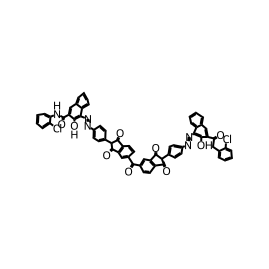 O=C(c1ccc2c(c1)C(=O)C(c1ccc(N=Nc3c(O)c(C(=O)Cc4ccccc4Cl)cc4ccccc34)cc1)C2=O)c1ccc2c(c1)C(=O)C(c1ccc(N=Nc3c(O)c(C(=O)Nc4ccccc4Cl)cc4ccccc34)cc1)C2=O